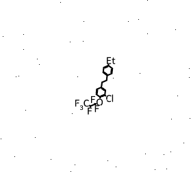 CCc1ccc(CCc2ccc(OC(F)(F)C(F)C(F)(F)F)c(Cl)c2)cc1